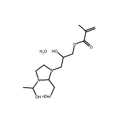 C=C(C)C(=O)OCC(O)CN1CCN(C(C)O)C1CCCCCCCCCCC.O